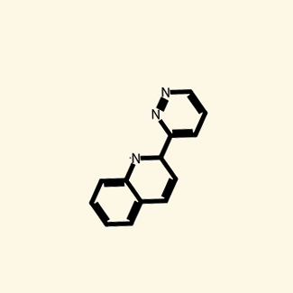 C1=CC(c2cccnn2)[N]c2ccccc21